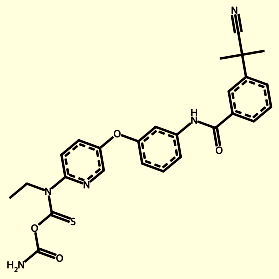 CCN(C(=S)OC(N)=O)c1ccc(Oc2cccc(NC(=O)c3cccc(C(C)(C)C#N)c3)c2)cn1